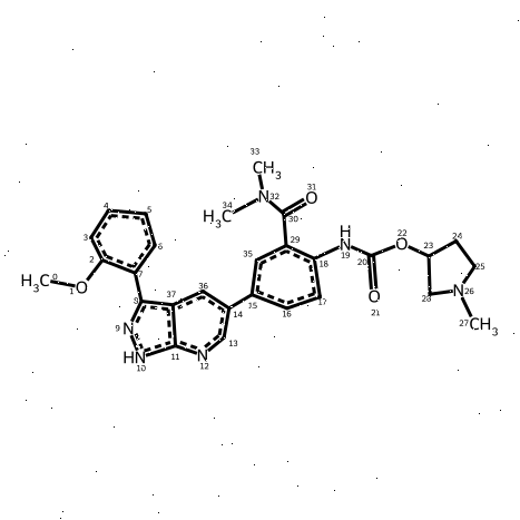 COc1ccccc1-c1n[nH]c2ncc(-c3ccc(NC(=O)OC4CCN(C)C4)c(C(=O)N(C)C)c3)cc12